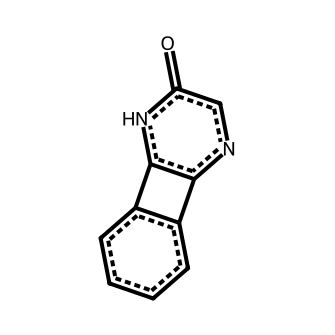 O=c1cnc2c([nH]1)-c1ccccc1-2